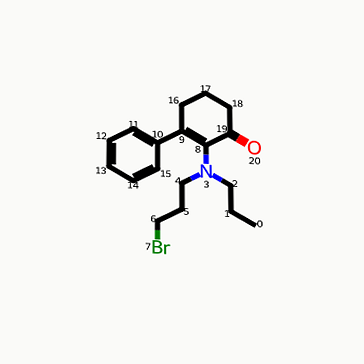 CCCN(CCCBr)C1=C(c2ccccc2)CCCC1=O